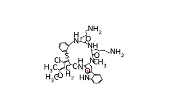 C=C1CNC(=O)[C@H](Cc2c[nH]c3ccccc23)N(C)C(=O)[C@H](CCCCN)NC(=O)[C@H](CCCN)NCc2ccccc2S/C1=C(Cl)/C=C(\C)OC